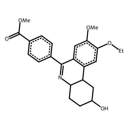 CCOc1cc2c(cc1OC)C(c1ccc(C(=O)OC)cc1)=NC1CCC(O)CC21